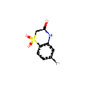 CCc1ccc2c(c1)NC(=O)CS2(=O)=O